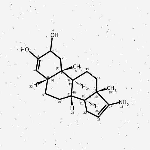 C[C@]12CC(O)C(O)=C[C@H]1CC[C@@H]1[C@@H]2CC[C@]2(C)C(N)=CC[C@@H]12